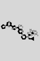 CC(c1ccc(N2CCC[C@@H](N(CC3CC3)C(=O)OC(C)(C)C)C2)nn1)n1cnc(-c2cncc(N3CCCC3)n2)c1